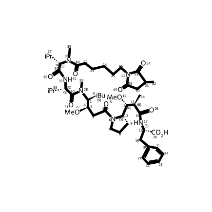 CC[C@H](C)C([C@@H](CC(=O)N1CCC[C@H]1[C@H](OC)[C@@H](C)C(=O)N[C@@H](Cc1ccccc1)C(=O)O)OC)N(C)C(=O)[C@@H](NC(=O)[C@H](C(C)C)N(C)C(=O)CCCCCN1C(=O)CC(C)C1=O)C(C)C